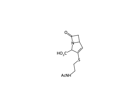 CC(=O)NCCSC1=CC2CC(=O)N2C1C(=O)O